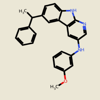 COc1cccc(Nc2cnc3[nH]c4ccc(C(C)c5ccccc5)cc4c3c2)c1